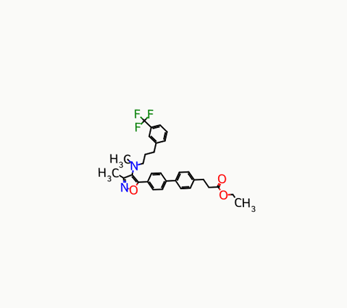 CCOC(=O)CCc1ccc(-c2ccc(-c3onc(C)c3N(C)CCCc3cccc(C(F)(F)F)c3)cc2)cc1